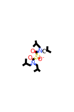 CC(C)CN(CC(C)C)C(=O)[S+]([O-])C(=O)N(CC(C)C)CC(C)C